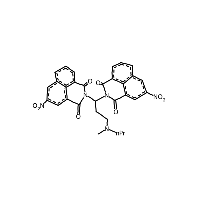 CCCN(C)CCC(N1C(=O)c2cccc3cc([N+](=O)[O-])cc(c23)C1=O)N1C(=O)c2cccc3cc([N+](=O)[O-])cc(c23)C1=O